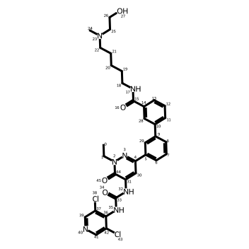 CCn1nc(-c2cccc(-c3cccc(C(=O)NCCCCCN(C)CCO)c3)c2)cc(NC(=O)Nc2c(Cl)cncc2Cl)c1=O